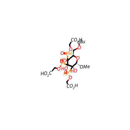 CCCCOC[C@H]1O[C@H](OC)[C@@](O)([PH](=O)OCC(=O)O)[C@](O)([PH](=O)OCC(=O)O)[C@@]1(O)[PH](=O)OCC(=O)O